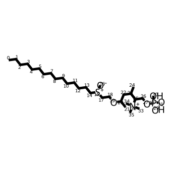 CCCCCCCCCCCCCCC[S+]([O-])CCOC(C)CC(C)C(COP(=O)(O)O)[N+](C)(C)C